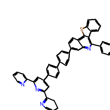 C1=CN=C(c2cc(-c3ccc(-c4ccc(-c5ccc6c(c5)nc(-c5ccccc5)c5c7ccccc7sc65)cc4)cc3)cc(-c3ccccn3)n2)CC1